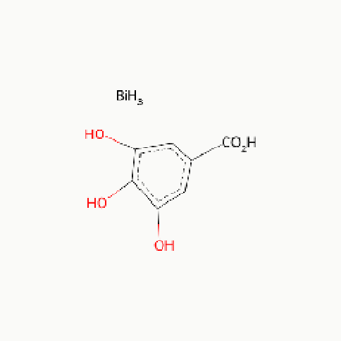 O=C(O)c1cc(O)c(O)c(O)c1.[BiH3]